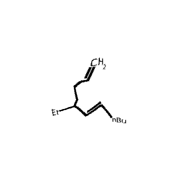 [CH2]CC(C=CCCCC)CC=C